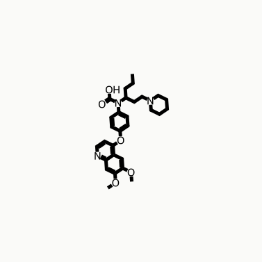 CCCC(CCN1CCCCC1)N(C(=O)O)c1ccc(Oc2ccnc3cc(OC)c(OC)cc23)cc1